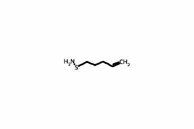 C=CCCCSN